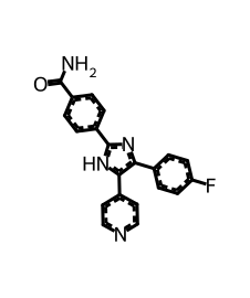 NC(=O)c1ccc(-c2nc(-c3ccc(F)cc3)c(-c3ccncc3)[nH]2)cc1